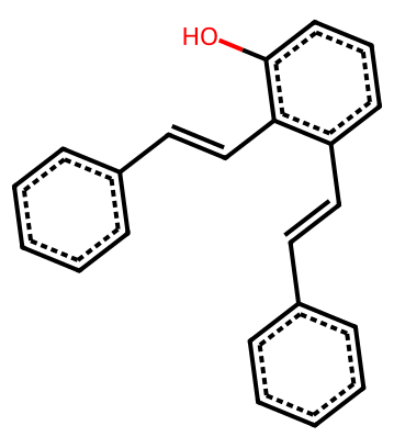 Oc1cccc(C=Cc2ccccc2)c1C=Cc1ccccc1